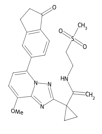 C=C(NCCS(C)(=O)=O)C1(c2nc3c(OC)ccc(-c4ccc5c(c4)CCC5=O)n3n2)CC1